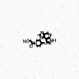 CC1CCN(C(=O)CC#N)CC1n1cnc2cnc3[nH]ccc3c21